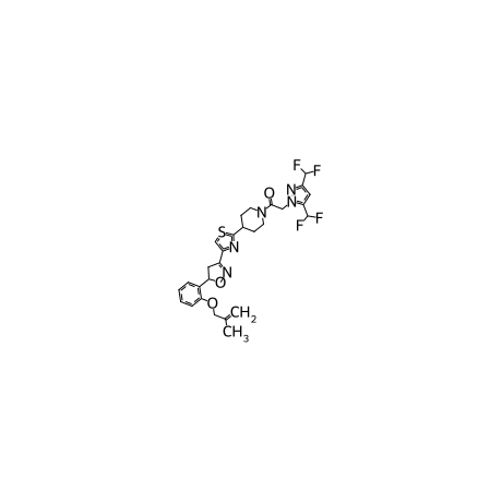 C=C(C)COc1ccccc1C1CC(c2csc(C3CCN(C(=O)Cn4nc(C(F)F)cc4C(F)F)CC3)n2)=NO1